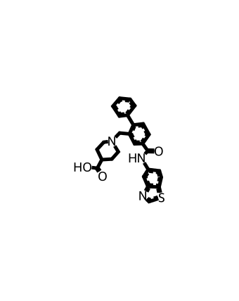 O=C(Nc1ccc2scnc2c1)c1ccc(-c2ccccc2)c(CN2CCC(C(=O)O)CC2)c1